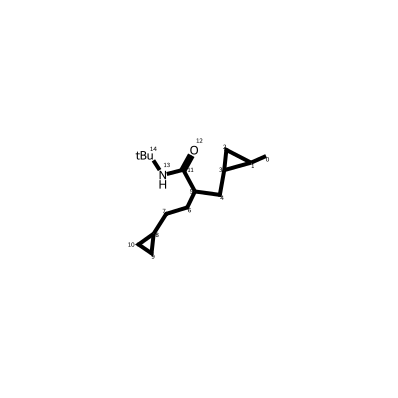 CC1CC1CC(CCC1CC1)C(=O)NC(C)(C)C